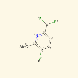 COc1nc(C(F)F)ccc1Br